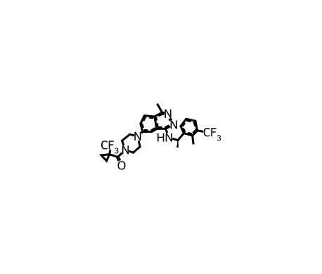 Cc1c([C@@H](C)Nc2nnc(C)c3ccc(N4CCN(C(=O)C5(C(F)(F)F)CC5)CC4)cc23)cccc1C(F)(F)F